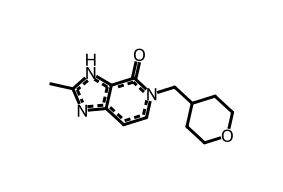 Cc1nc2ccn(CC3CCOCC3)c(=O)c2[nH]1